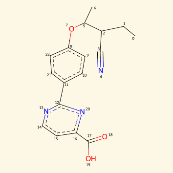 CCC(C#N)C(C)Oc1ccc(-c2nccc(C(=O)O)n2)cc1